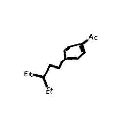 CCC(CC)CCc1ccc(C(C)=O)cc1